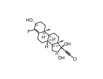 C[C@]12CC[C@@H](O)C(F)=C1CC[C@@H]1[C@@H]2CC[C@@]2(C)[C@H]1C[C@@H](O)[C@@]2(O)C#CCl